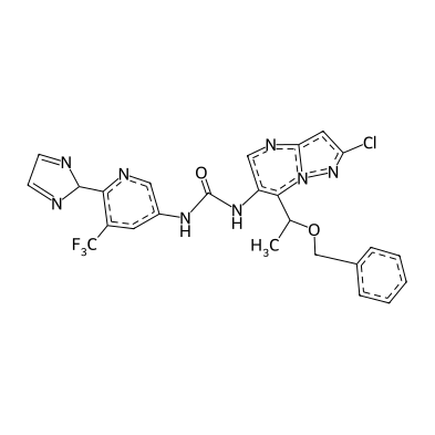 CC(OCc1ccccc1)c1c(NC(=O)Nc2cnc(C3N=CC=N3)c(C(F)(F)F)c2)cnc2cc(Cl)nn12